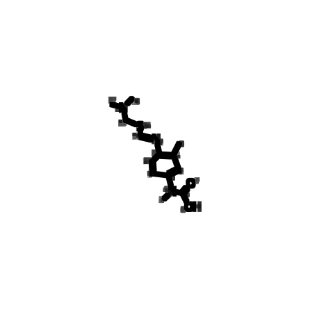 Cc1cc(N(C)C(=O)O)ccc1N=CSCN(C)C